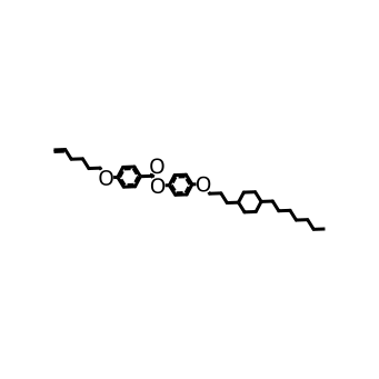 C=CCCCCOc1ccc(C(=O)Oc2ccc(OCCCC3CCC(CCCCCCC)CC3)cc2)cc1